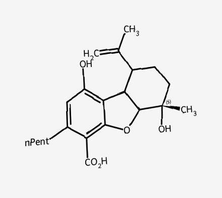 C=C(C)C1CC[C@](C)(O)C2Oc3c(C(=O)O)c(CCCCC)cc(O)c3C12